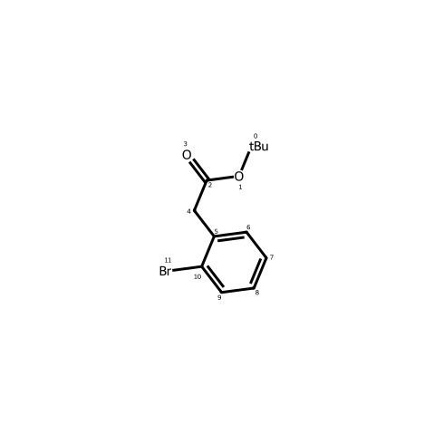 CC(C)(C)OC(=O)Cc1ccccc1Br